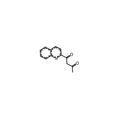 CC(=O)CC(=O)c1ccc2ccccc2n1